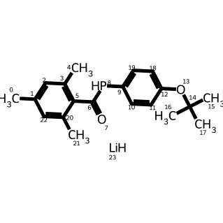 Cc1cc(C)c(C(=O)Pc2ccc(OC(C)(C)C)cc2)c(C)c1.[LiH]